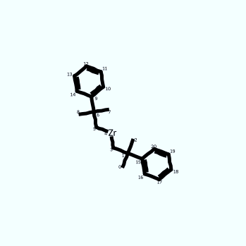 CC(C)([CH2][Zr][CH2]C(C)(C)c1ccccc1)c1ccccc1